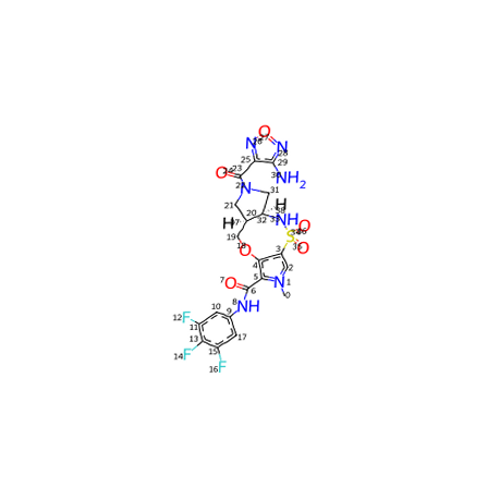 Cn1cc2c(c1C(=O)Nc1cc(F)c(F)c(F)c1)OC[C@H]1CN(C(=O)c3nonc3N)C[C@H]1NS2(=O)=O